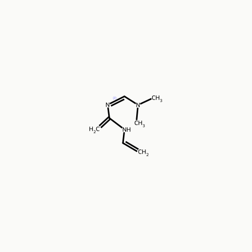 C=CNC(=C)/N=C\N(C)C